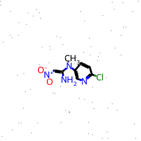 CN(C(N)=C[N+](=O)[O-])c1ccc(Cl)nc1